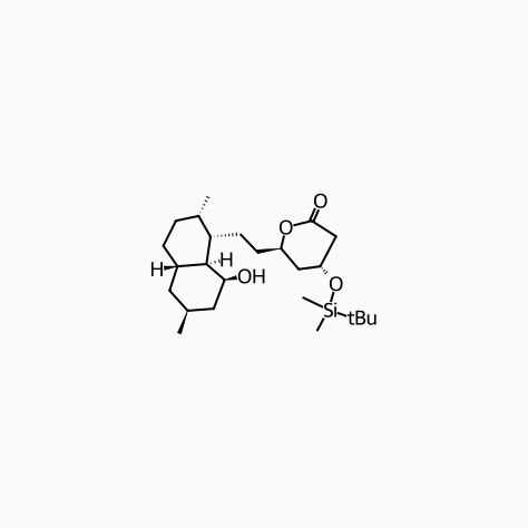 C[C@H]1C[C@@H]2CC[C@H](C)[C@H](CC[C@@H]3C[C@@H](O[Si](C)(C)C(C)(C)C)CC(=O)O3)[C@H]2[C@@H](O)C1